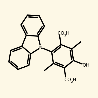 Cc1c(O)c(C(=O)O)c(C)c(-n2c3ccccc3c3ccccc32)c1C(=O)O